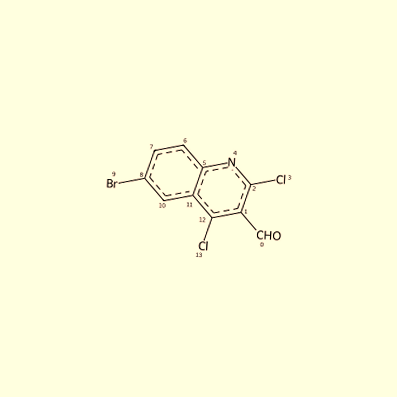 O=Cc1c(Cl)nc2ccc(Br)cc2c1Cl